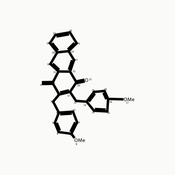 C=C1C(Cc2ccc(OC)cc2)=C(Cc2ccc(OC)cc2)C(=O)c2cc3ccccc3cc21